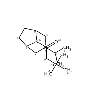 CC(C)N1CC2CCC(C1)N2C(=O)CC(C)(C)C